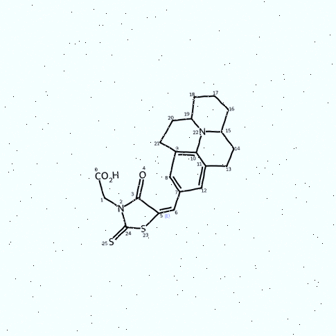 O=C(O)CN1C(=O)/C(=C\c2cc3c4c(c2)CCC2CCCC(CC3)N42)SC1=S